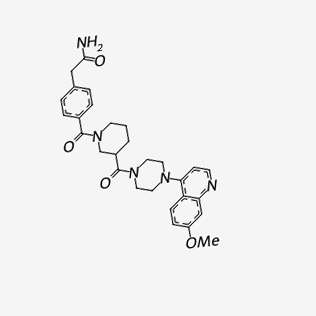 COc1ccc2c(N3CCN(C(=O)C4CCCN(C(=O)c5ccc(CC(N)=O)cc5)C4)CC3)ccnc2c1